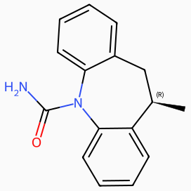 C[C@@H]1Cc2ccccc2N(C(N)=O)c2ccccc21